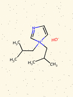 CC(C)C[N+]1(CC(C)C)C=CN=C1.[OH-]